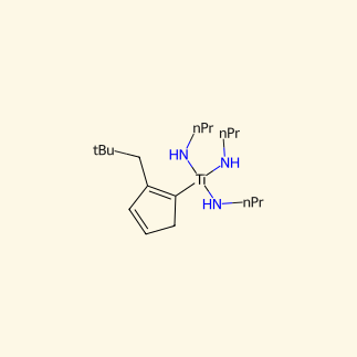 CCC[NH][Ti]([NH]CCC)([NH]CCC)[C]1=C(CC(C)(C)C)C=CC1